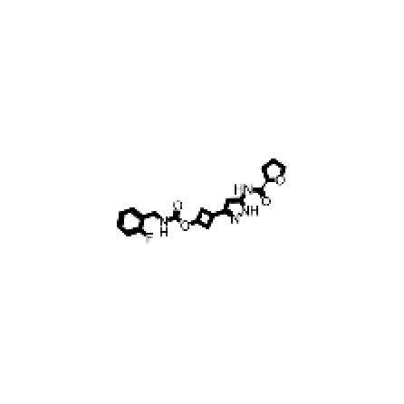 O=C(NCc1ccccc1F)OC1CC(c2cc(NC(=O)[C@H]3CCCO3)[nH]n2)C1